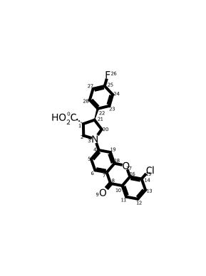 O=C(O)[C@H]1CN(c2ccc3c(=O)c4cccc(Cl)c4oc3c2)C[C@@H]1c1ccc(F)cc1